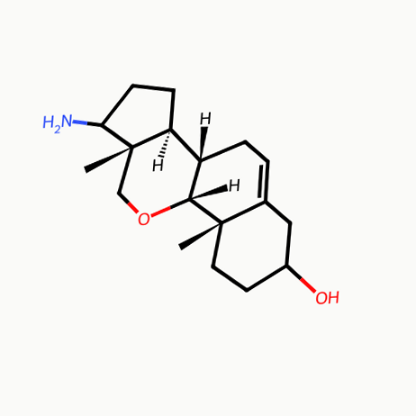 C[C@]12CCC(O)CC1=CC[C@@H]1[C@H]2OC[C@]2(C)C(N)CC[C@@H]12